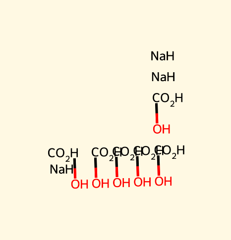 O=C(O)O.O=C(O)O.O=C(O)O.O=C(O)O.O=C(O)O.O=C(O)O.[NaH].[NaH].[NaH]